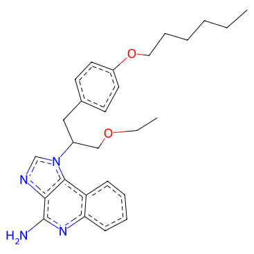 CCCCCCOc1ccc(CC(COCC)n2cnc3c(N)nc4ccccc4c32)cc1